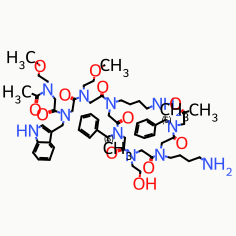 COCCN(CC(=O)N(CC(=O)N(CCOC)CC(=O)N(CCCCN)CC(=O)N(CC(=O)N(CCO)CC(=O)N(CCCCN)CC(=O)N(CC(C)=O)[C@@H](C)c1ccccc1)[C@@H](C)c1ccccc1)Cc1c[nH]c2ccccc12)C(C)=O